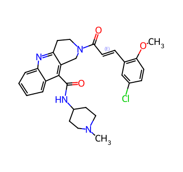 COc1ccc(Cl)cc1/C=C/C(=O)N1CCc2nc3ccccc3c(C(=O)NC3CCN(C)CC3)c2C1